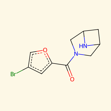 O=C(c1cc(Br)co1)N1CC2CC(C1)N2